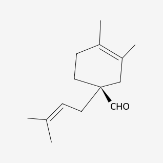 CC(C)=CC[C@]1(C=O)CCC(C)=C(C)C1